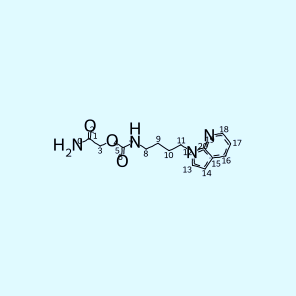 NC(=O)COC(=O)NCCCCn1ccc2cccnc21